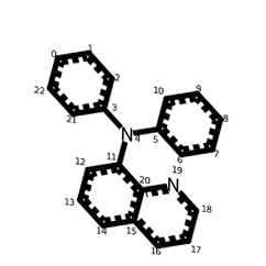 c1ccc(N(c2ccccc2)c2cccc3cccnc23)cc1